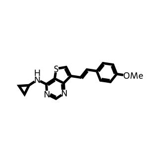 COc1ccc(/C=C/c2csc3c(NC4CC4)ncnc23)cc1